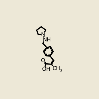 CC(=Cc1ccc(CNN2CCCC2)cc1)C(=O)O